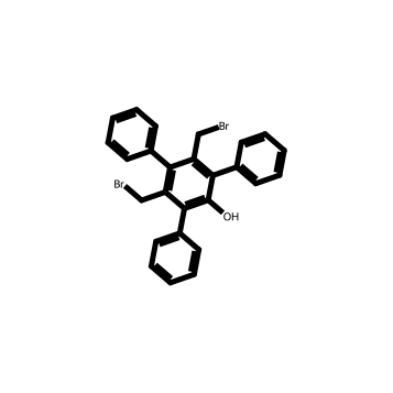 Oc1c(-c2ccccc2)c(CBr)c(-c2ccccc2)c(CBr)c1-c1ccccc1